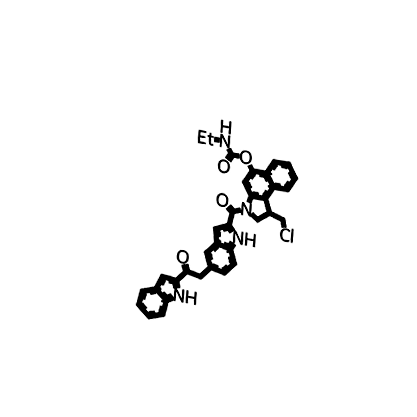 CCNC(=O)Oc1cc2c(c3ccccc13)C(CCl)CN2C(=O)c1cc2cc(CC(=O)c3cc4ccccc4[nH]3)ccc2[nH]1